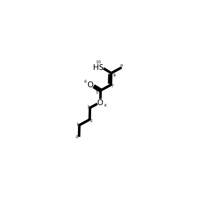 CCCCOC(=O)C=C(C)S